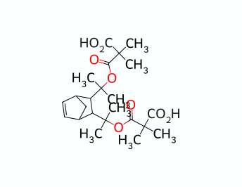 CC(C)(C(=O)O)C(=O)OC(C)(C)C1C2C=CC(C2)C1C(C)(C)OC(=O)C(C)(C)C(=O)O